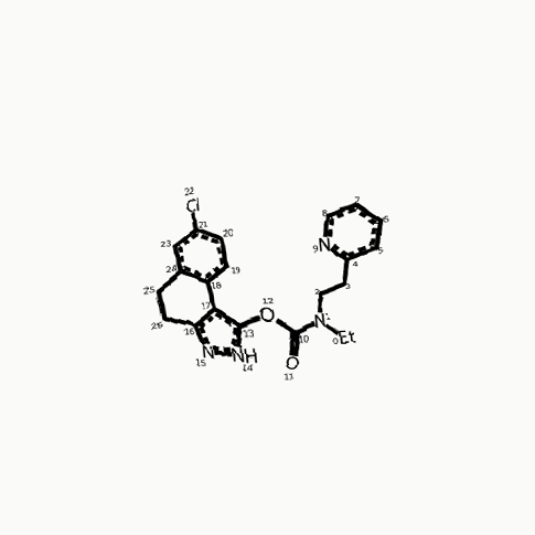 CCN(CCc1ccccn1)C(=O)Oc1[nH]nc2c1-c1ccc(Cl)cc1CC2